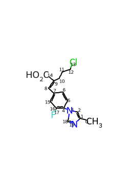 Cc1cn(-c2ccc(/C=C(\CCCCl)C(=O)O)cc2F)cn1